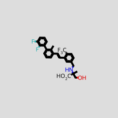 Cc1c(C=Cc2cc(CNC(C)(CO)C(=O)O)ccc2C(F)(F)F)cccc1-c1cccc(F)c1F